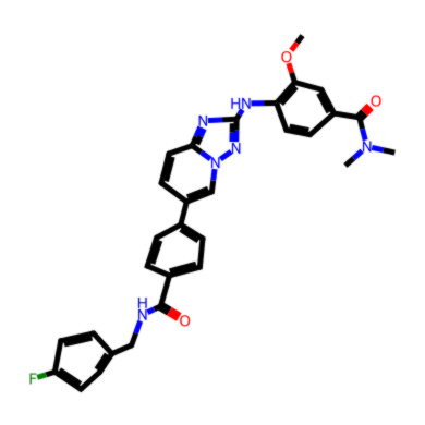 COc1cc(C(=O)N(C)C)ccc1Nc1nc2ccc(-c3ccc(C(=O)NCc4ccc(F)cc4)cc3)cn2n1